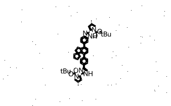 C[C@H]1C[C@@H](c2nc(-c3ccc(-c4ccc(-c5ccc6nc([C@@H]7C[C@H](C)CN7C(=O)OC(C)(C)C)[nH]c6c5)c5c4C4(CCCC4)CC5)cc3)c[nH]2)N(C(=O)OC(C)(C)C)C1